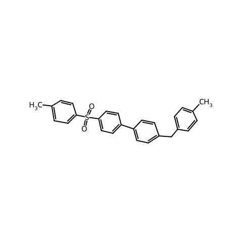 Cc1ccc(Cc2ccc(-c3ccc(S(=O)(=O)c4ccc(C)cc4)cc3)cc2)cc1